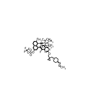 CON=C1CCN(CC2(COc3ncc4cnc(-c5cc(OS(=O)(=O)OC(F)(F)F)cc6ccc(F)c(C#C[Si](C(C)C)(C(C)C)C(C)C)c56)c(F)c4n3)CC2)CC1